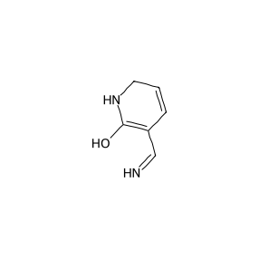 N=CC1=C(O)NCC=C1